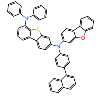 c1ccc(N(c2ccccc2)c2cccc3c2sc2cc(N(c4ccc(-c5cccc6ccccc56)cc4)c4ccc5c(c4)oc4ccccc45)ccc23)cc1